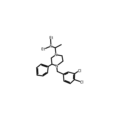 CCN(CC)C(C)N1CCN(Cc2ccc(Cl)c(Cl)c2)C(c2ccccc2)C1